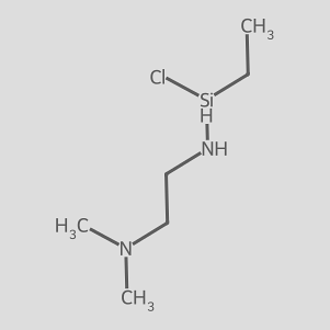 CC[SiH](Cl)NCCN(C)C